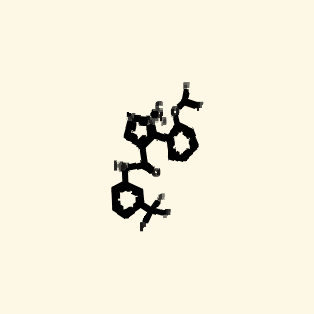 Cn1ncc(C(=O)Nc2cccc(C(F)(F)F)c2)c1-c1ccccc1OC(F)F